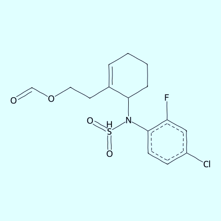 O=COCCC1=CCCCC1N(c1ccc(Cl)cc1F)[SH](=O)=O